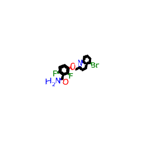 NC(=O)c1c(F)ccc(OCc2ccc3c(Br)cccc3n2)c1F